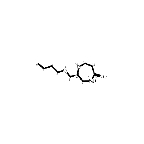 CCCCOC[C@@H]1CNC(=O)CCO1